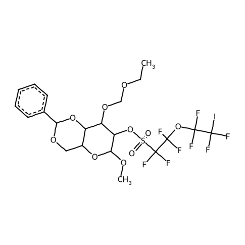 CCOCOC1C2OC(c3ccccc3)OCC2OC(OC)C1OS(=O)(=O)C(F)(F)C(F)(F)OC(F)(F)C(F)(F)I